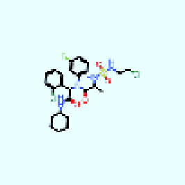 C[C@H](NS(=O)(=O)NCCCl)C(=O)N(c1cccc(F)c1)C(C(=O)NC1CCCCC1)c1ccccc1Cl